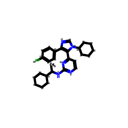 CC(Nc1nccc(-c2c(-c3ccc(F)cc3)ncn2C2CCCCC2)n1)C1CCCCC1